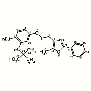 CCCCc1ccc(OCCc2nc(-c3ccccc3)oc2C)cc1OC(C)(C)C(=O)O